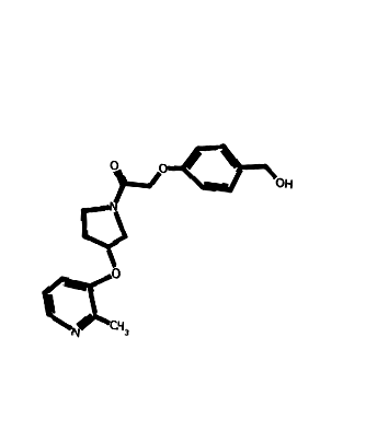 Cc1ncccc1OC1CCN(C(=O)COc2ccc(CO)cc2)C1